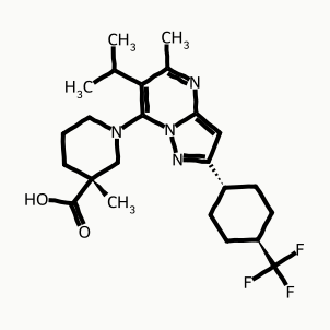 Cc1nc2cc([C@H]3CC[C@H](C(F)(F)F)CC3)nn2c(N2CCC[C@@](C)(C(=O)O)C2)c1C(C)C